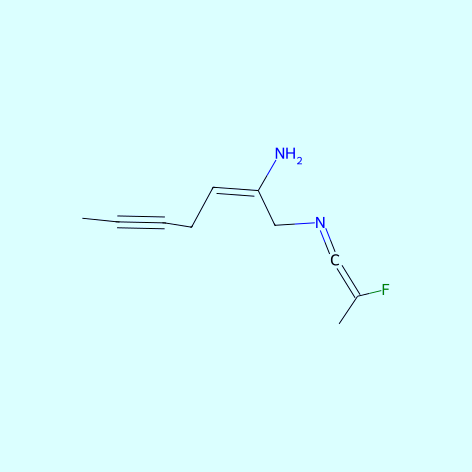 CC#CC/C=C(/N)CN=C=C(C)F